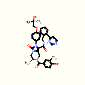 C[C@@H]1Cn2c(c(C(=O)NCc3ccccc3-c3ccncn3)n(-c3ccc(OC[C@@](C)(O)C(F)(F)F)cc3)c2=O)CN1C(=O)c1ccc(Br)c(C(F)(F)F)c1